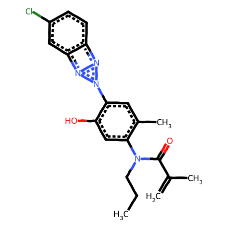 C=C(C)C(=O)N(CCC)c1cc(O)c(-n2n3c4ccc(Cl)cc4n23)cc1C